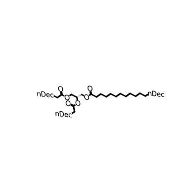 CCCCCCCCCCCCCCCCCCCCCC(=O)OC[C@@H](COC(=O)CCCCCCCCCCC)OC(=O)CCCCCCCCCCC